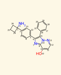 NC1(c2ccc(-c3nc4c(O)ccnn4c3-c3ccccc3)cc2)CCC1